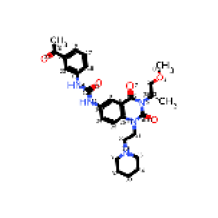 COC[C@H](C)n1c(=O)c2cc(NC(=O)Nc3cccc(C(C)=O)c3)ccc2n(CCN2CCCCC2)c1=O